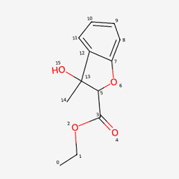 CCOC(=O)C1Oc2ccccc2C1(C)O